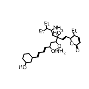 CCC1C=CC(=O)OC1C=CC(O)(CC(N)C(CC)CC)C(CC(O)C=CC=CC1CCCC(O)C1)OP